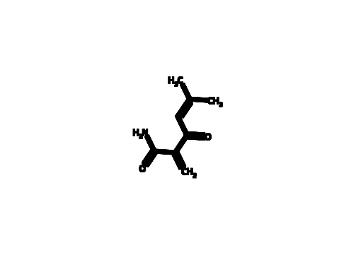 C=C(C(N)=O)C(=O)C=C(C)C